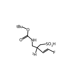 [2H]C(C=CF)(CNC(=O)OC(C)(C)C)CS(=O)(=O)O